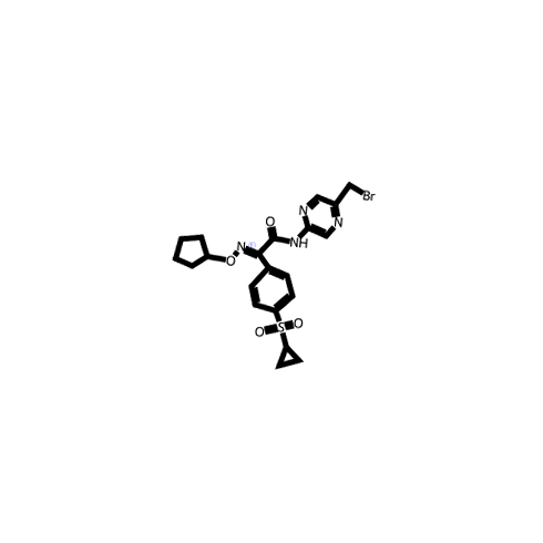 O=C(Nc1cnc(CBr)cn1)/C(=N/OC1CCCC1)c1ccc(S(=O)(=O)C2CC2)cc1